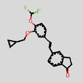 O=C1CCc2cc(C=Cc3ccc(OC(F)F)c(OCC4CC4)c3)ccc21